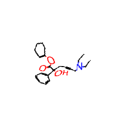 CCN(CC)CC#CCC(O)(C(=O)OC1CCCCC1)c1ccccc1